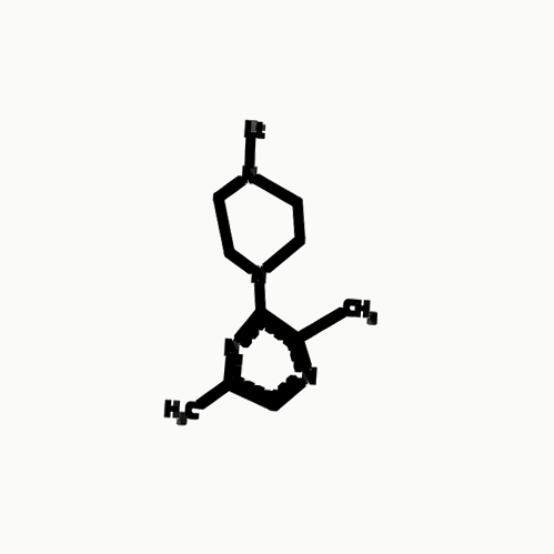 CCN1CCN(c2nc(C)cnc2C)CC1